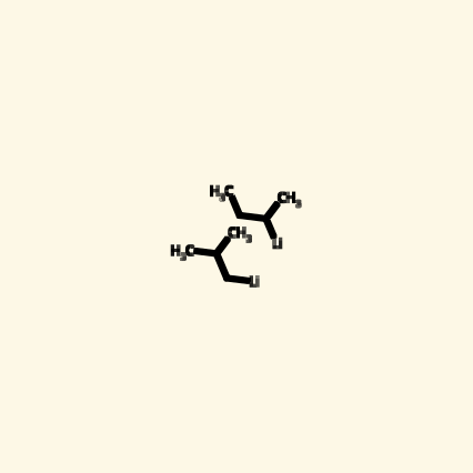 [Li][CH2]C(C)C.[Li][CH](C)CC